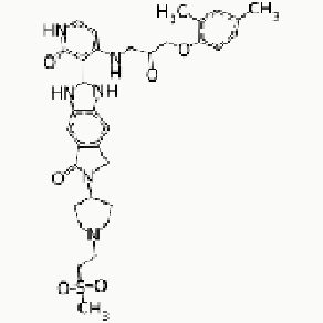 Cc1ccc(OCC(=O)CNc2cc[nH]c(=O)c2C2Nc3cc4c(cc3N2)C(=O)N(C2CCN(CCS(C)(=O)=O)CC2)C4)c(C)c1